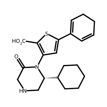 O=C(O)c1sc(C2=CCCC=C2)cc1N1C(=O)CNC[C@H]1C1CCCCC1